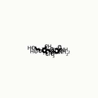 Cc1cc(OC[C@H](O)CO)cc(C)c1/C=C/S(=O)(=O)N1CCC(N)(C(N)=O)CC1